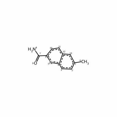 Cc1ccc2nc(C(N)=O)ccc2c1